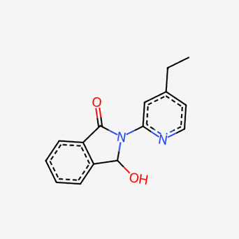 CCc1ccnc(N2C(=O)c3ccccc3C2O)c1